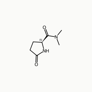 CN(C)C(=O)[C@@H]1CCC(=O)N1